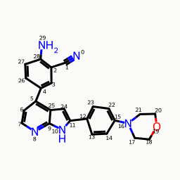 N#Cc1cc(-c2ccnc3[nH]c(-c4ccc(N5CCOCC5)cc4)cc23)ccc1N